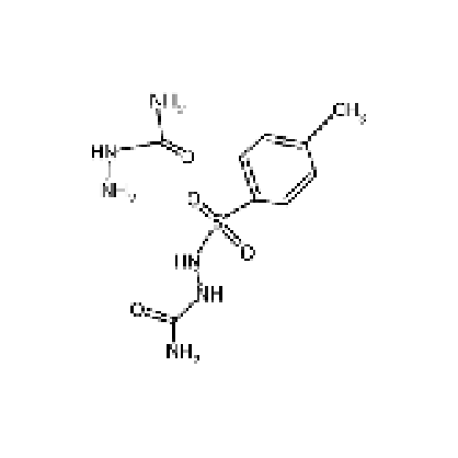 Cc1ccc(S(=O)(=O)NNC(N)=O)cc1.NNC(N)=O